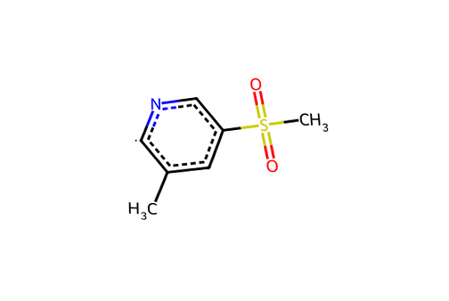 Cc1[c]ncc(S(C)(=O)=O)c1